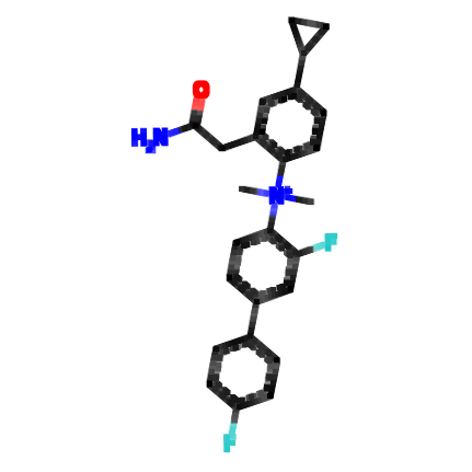 C[N+](C)(c1ccc(-c2ccc(F)cc2)cc1F)c1ccc(C2CC2)cc1CC(N)=O